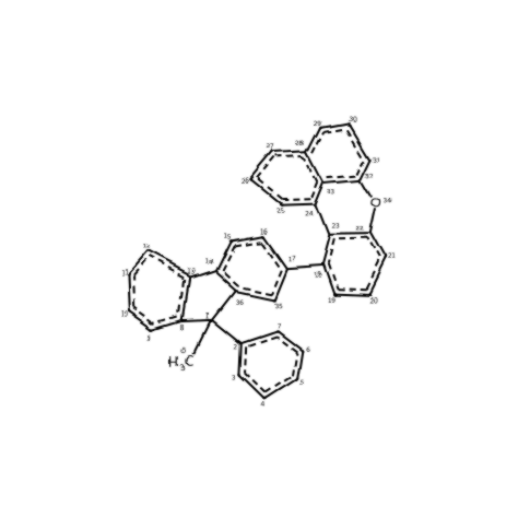 CC1(c2ccccc2)c2ccccc2-c2ccc(-c3cccc4c3-c3cccc5cccc(c35)O4)cc21